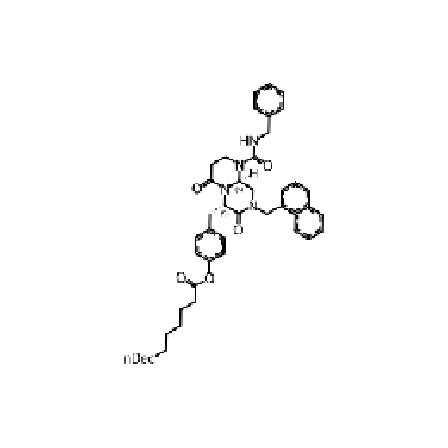 CCCCCCCCCCCCCCCC(=O)Oc1ccc(C[C@H]2C(=O)N(Cc3cccc4ccccc34)C[C@@H]3N(C(=O)NCc4ccccc4)CCC(=O)N32)cc1